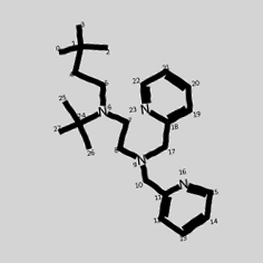 CC(C)(C)CCN(CCN(Cc1ccccn1)Cc1ccccn1)C(C)(C)C